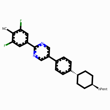 CCCCC[C@H]1CC[C@H](c2ccc(-c3cnc(-c4cc(F)c(C#N)c(F)c4)nc3)cc2)CC1